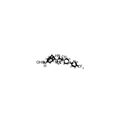 CC(C)(C(=N)N(C#N)C1C2CC3CC1CC(NC=O)(C3)C2)N1CCN(c2ccc(C(F)(F)F)cn2)CC1